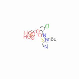 CCCCn1/c(=N/C(=O)c2cc(Cl)ccc2OC[C@H](C)OP(=O)(O)O)sc2ccncc21